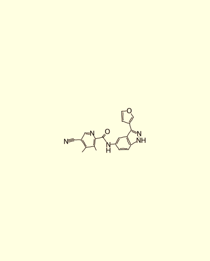 Cc1c(C#N)cnc(C(=O)Nc2ccc3[nH]nc(-c4ccoc4)c3c2)c1C